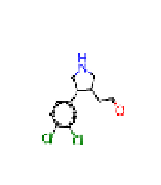 O=CCC1CNCC1c1ccc(Cl)c(Cl)c1